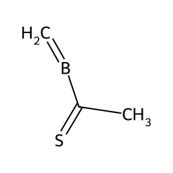 C=BC(C)=S